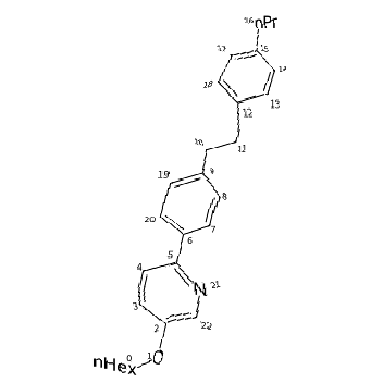 CCCCCCOc1ccc(-c2ccc(CCc3ccc(CCC)cc3)cc2)nc1